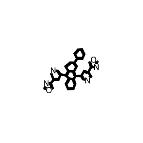 c1ccc(-c2ccc3c(-c4cncc(-c5cocn5)c4)c4ccccc4c(-c4cncc(-c5cocn5)c4)c3c2)cc1